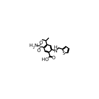 CC(C)c1cc(NCc2cccs2)c(C(=O)O)cc1S(N)(=O)=O